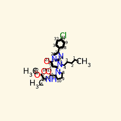 CCCCCn1c(N2CCC[C@H]2C(=O)N[C@@H](C)C(=O)OC)cc(=O)n2cc(-c3ccc(Cl)cc3)nc12